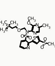 COc1nc(C)cnc1N(COCC[Si](C)(C)C)S(=O)(=O)c1cccnc1-c1cc(S(C)(=O)=O)cs1